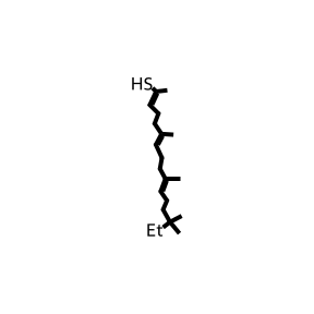 CCC(C)(C)CC/C=C(\C)CC/C=C(\C)CC/C=C(\C)S